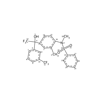 Cc1cc(C(O)(c2cccc(C(F)(F)F)c2)C(F)(F)F)ccc1N(C)S(=O)(=O)c1ccccc1